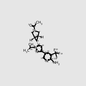 CC(=O)N1C[C@@H]2[C@H](C1)[C@@H]2c1cc(-c2cnc(N)c(C(F)(F)F)c2)nn1C(C)C